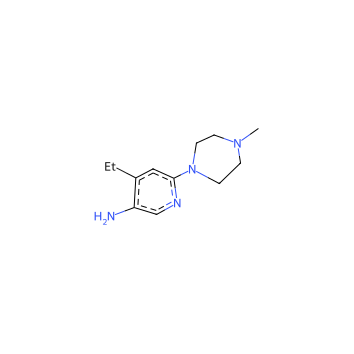 [CH2]Cc1cc(N2CCN(C)CC2)ncc1N